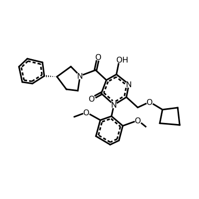 COc1cccc(OC)c1-n1c(COC2CCC2)nc(O)c(C(=O)N2CC[C@H](c3ccccc3)C2)c1=O